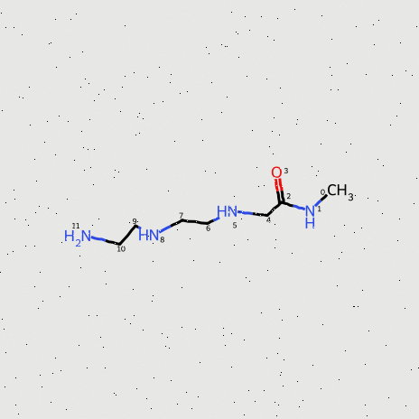 CNC(=O)CNCCNCCN